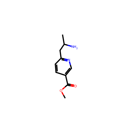 COC(=O)c1ccc(CC(C)N)nc1